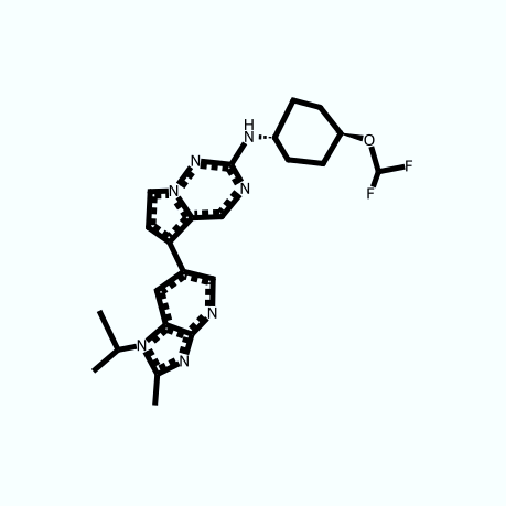 Cc1nc2ncc(-c3ccn4nc(N[C@H]5CC[C@H](OC(F)F)CC5)ncc34)cc2n1C(C)C